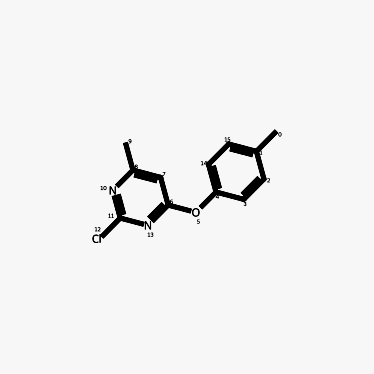 Cc1ccc(Oc2cc(C)nc(Cl)n2)cc1